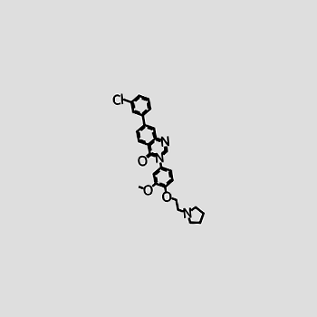 COc1cc(-n2cnc3cc(-c4cccc(Cl)c4)ccc3c2=O)ccc1OCCN1CCCC1